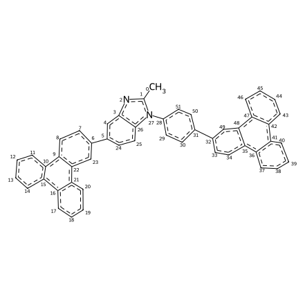 Cc1nc2cc(-c3ccc4c5ccccc5c5ccccc5c4c3)ccc2n1-c1ccc(-c2ccc3c4ccccc4c4ccccc4c3c2)cc1